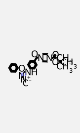 [C-]#[N+]/N=C(\Nc1ccc(C(=O)N2CCN(C(=O)OC(C)(C)C)CC2)cc1)Oc1ccccc1